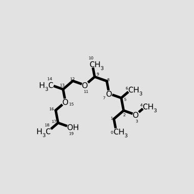 CCC(OC)C(C)OCC(C)OCC(C)OCC(C)O